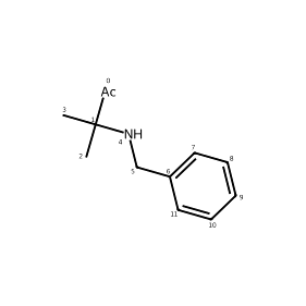 CC(=O)C(C)(C)NCc1ccccc1